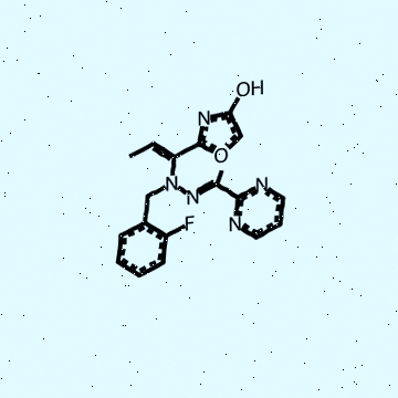 C/C=C(/c1nc(O)co1)N(Cc1ccccc1F)/N=C(\C)c1ncccn1